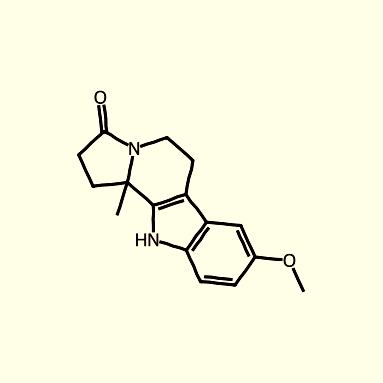 COc1ccc2[nH]c3c(c2c1)CCN1C(=O)CCC31C